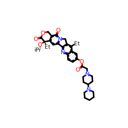 CCc1c2c(nc3ccc(OC(=O)CN4CCC(N5CCCCC5)CC4)cc13)-c1cc3c(c(=O)n1C2)COC(=O)[C@@]3(CC)OC(C)C